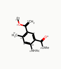 C=C(OCC)c1cc(C(=O)OC)c(NC(C)=O)cc1C